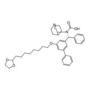 O=C(O)N(C1CN2CCC1CC2)[C@H](c1ccccc1)c1cc(OCCCCCCCCC2OCCO2)cc(-c2ccccc2)c1